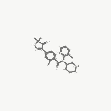 Cc1cc(C2=NOC(C)(C)C2=O)ccc1C(=O)N(c1ncccc1C)C1CCCNC1